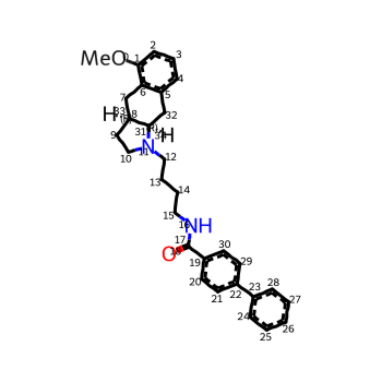 COc1cccc2c1C[C@@H]1CCN(CCCCNC(=O)c3ccc(-c4ccccc4)cc3)[C@@H]1C2